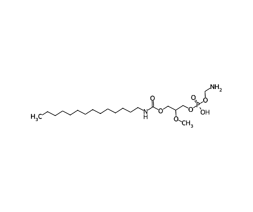 CCCCCCCCCCCCCCNC(=O)OCC(COP(=O)(O)OCN)OC